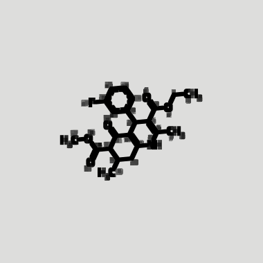 CCOC(=O)C1=C(C)NC2=C(C(=O)C(C(=O)OC)C(C)C2)C1c1cccc(F)c1